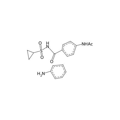 CC(=O)Nc1ccc(C(=O)NS(=O)(=O)C2CC2)cc1.Nc1ccccc1